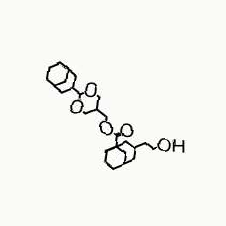 O=C(OCC1COC(C2CC3CCCC(C3)C2)OC1)C12CCCC(CC(CCO)C1)C2